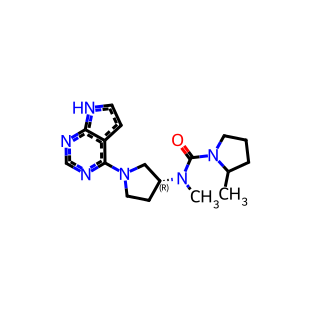 CC1CCCN1C(=O)N(C)[C@@H]1CCN(c2ncnc3[nH]ccc23)C1